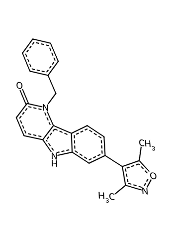 Cc1noc(C)c1-c1ccc2c(c1)[nH]c1ccc(=O)n(Cc3ccccc3)c12